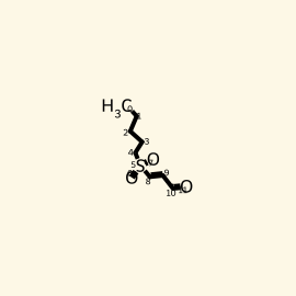 CCCCCS(=O)(=O)C=C[C]=O